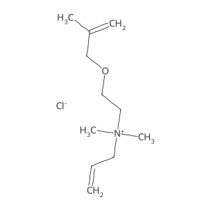 C=CC[N+](C)(C)CCOCC(=C)C.[Cl-]